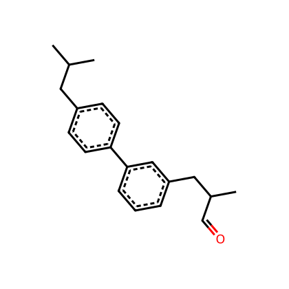 CC(C)Cc1ccc(-c2cccc(CC(C)C=O)c2)cc1